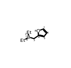 CCB(CC)Cc1ccco1